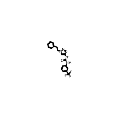 O=C([N-]c1c[n+](CCc2ccccc2)no1)Nc1cccc(C(F)(F)F)c1